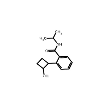 CC(C)NC(=O)c1ccccc1C1CCC1O